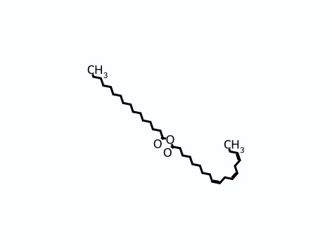 CC/C=C\C/C=C\C/C=C\CCCCCCCC(=O)OC(=O)CCCCCCCCCCCCCCC